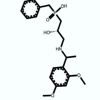 COc1ccc(C(C)NC[C@H](O)CP(=O)(O)Cc2ccccc2)c(OC)c1